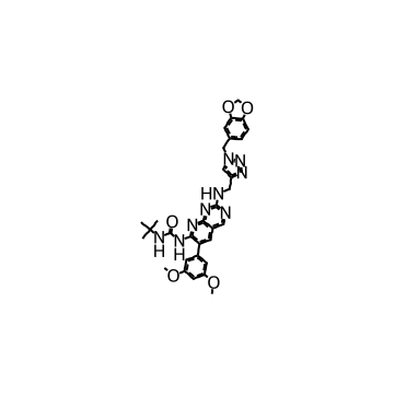 COc1cc(OC)cc(-c2cc3cnc(NCc4cn(Cc5ccc6c(c5)OCO6)nn4)nc3nc2NC(=O)NC(C)(C)C)c1